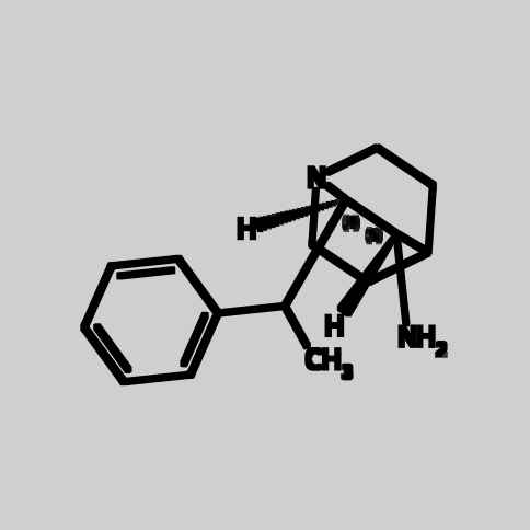 CC(c1ccccc1)[C@@H]1[C@@H](N)C2CCN1CC2